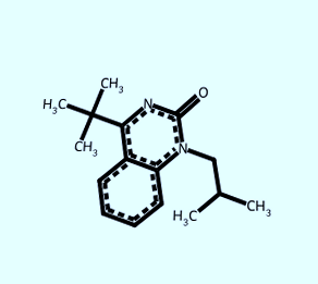 CC(C)Cn1c(=O)nc(C(C)(C)C)c2ccccc21